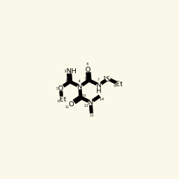 CCOC(=N)N(C(=O)NSCC)C(=O)N(C)C